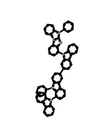 c1ccc(-n2c3ccc(-c4ccc5c6ccccc6n(-c6cccc7c6nc6n(-c8ccccc8)c8ccccc8n76)c5c4)cc3c3cccc(-n4c5ccccc5c5ccccc54)c32)cc1